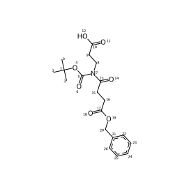 CC(C)(C)OC(=O)N(CCC(=O)O)C(=O)CCC(=O)OCc1ccccc1